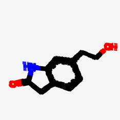 O=C1Cc2ccc(CCO)cc2N1